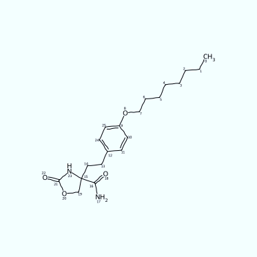 CCCCCCCCOc1ccc(CCC2(C(N)=O)COC(=O)N2)cc1